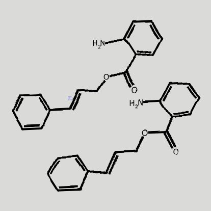 Nc1ccccc1C(=O)OC/C=C/c1ccccc1.Nc1ccccc1C(=O)OCC=Cc1ccccc1